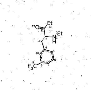 CCN[C@H](Cc1cccc(C(F)(F)F)c1)C(=O)CC